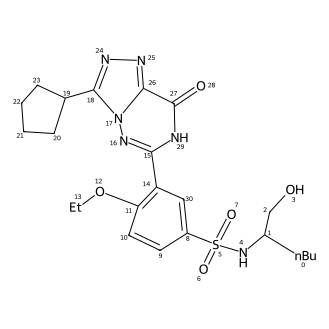 CCCCC(CO)NS(=O)(=O)c1ccc(OCC)c(-c2nn3c(C4CCCC4)nnc3c(=O)[nH]2)c1